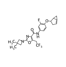 CC1(C)CN(c2nc(C(=O)Nc3ccc(OC4CC=C5CC54)c(F)c3)c(CC(F)(F)F)o2)C1